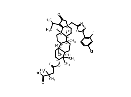 CC(C)C1=C2[C@H]3CC[C@@H]4[C@@]5(C)CC[C@H](OC(=O)CC(C)(C)C(=O)O)C(C)(C)[C@@H]5CC[C@@]4(C)[C@]3(C)CC[C@@]2(Cc2nnc(-c3ccc(Cl)cc3Cl)o2)CC1=O